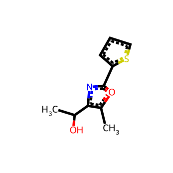 Cc1oc(-c2cccs2)nc1C(C)O